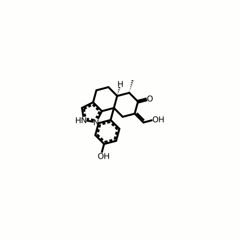 C[C@@H]1C(=O)/C(=C\O)CC2(c3ccc(O)cc3)c3n[nH]cc3CC[C@@H]12